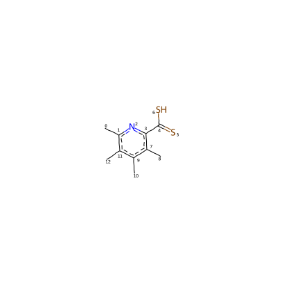 Cc1nc(C(=S)S)c(C)c(C)c1C